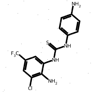 Nc1ccc(NC(=S)Nc2cc(C(F)(F)F)cc(Cl)c2N)cc1